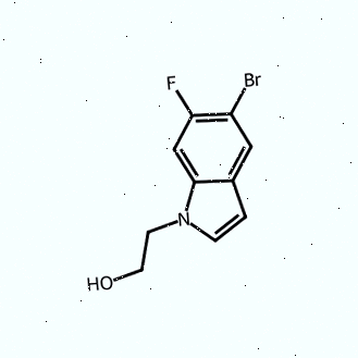 OCCn1ccc2cc(Br)c(F)cc21